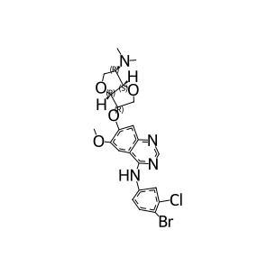 COc1cc2c(Nc3ccc(Br)c(Cl)c3)ncnc2cc1O[C@@H]1CO[C@@H]2[C@H]1OC[C@H]2N(C)C